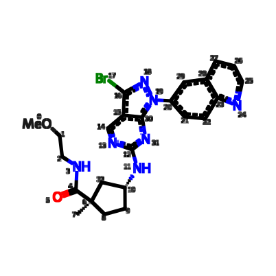 COCCNC(=O)[C@]1(C)CC[C@@H](Nc2ncc3c(Br)nn(-c4ccc5ncccc5c4)c3n2)C1